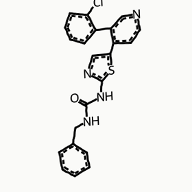 O=C(NCc1ccccc1)Nc1ncc(-c2ccncc2-c2ccccc2Cl)s1